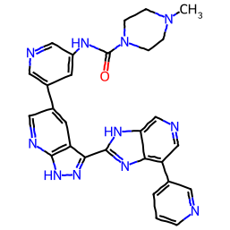 CN1CCN(C(=O)Nc2cncc(-c3cnc4[nH]nc(-c5nc6c(-c7cccnc7)cncc6[nH]5)c4c3)c2)CC1